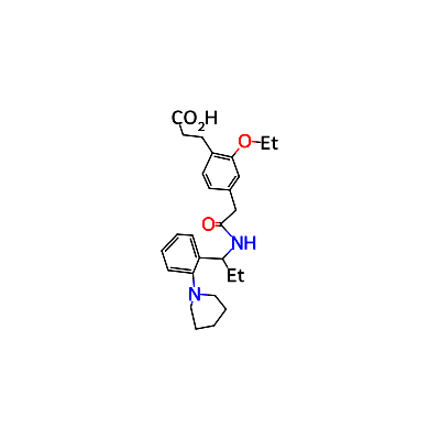 CCOc1cc(CC(=O)NC(CC)c2ccccc2N2CCCCC2)ccc1CCC(=O)O